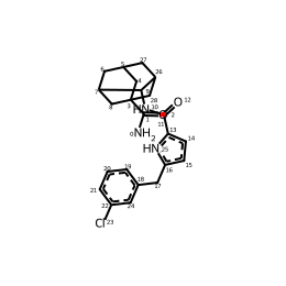 NC(=O)C12CC3CC(C1)C(NC(=O)c1ccc(Cc4cccc(Cl)c4)[nH]1)C(C3)C2